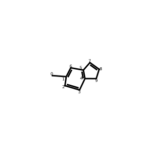 Cc1ccc2c(c1)C=CC2